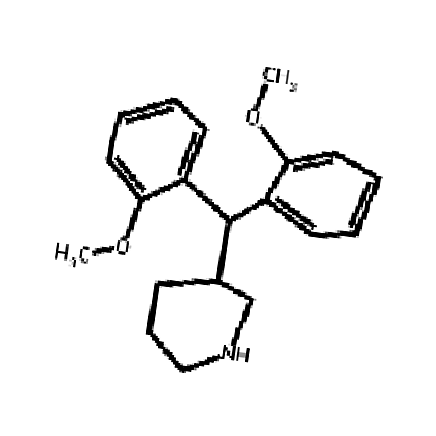 COc1ccccc1C(c1ccccc1OC)C1CCCNC1